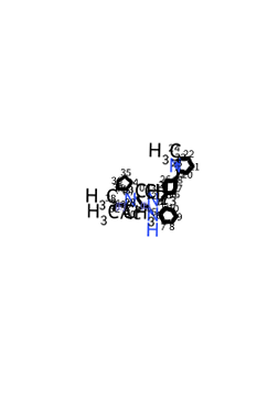 C=C(/C(C(C)=O)=C(/Nc1ccccc1)N(C)Cc1ccc(-c2cccc(C)n2)cc1)N(/C(C)=C/C)[C@H]1CCC[C@H]1C